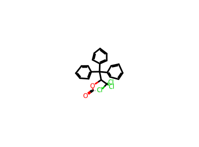 O=[C]OC(C(Cl)(Cl)Cl)C(c1ccccc1)(c1ccccc1)c1ccccc1